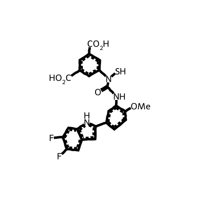 COc1ccc(-c2cc3cc(F)c(F)cc3[nH]2)cc1NC(=O)N(S)c1cc(C(=O)O)cc(C(=O)O)c1